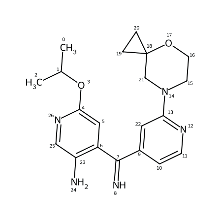 CC(C)Oc1cc(C(=N)c2ccnc(N3CCOC4(CC4)C3)c2)c(N)cn1